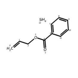 C=CCOC(=O)c1ccccc1.[SiH4]